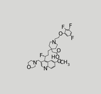 COc1ccc2ncc(CN3CCOCC3)c([C@@H](F)CCC3(CC(=O)O)CCN(CCOc4cc(F)cc(F)c4F)CC3)c2c1